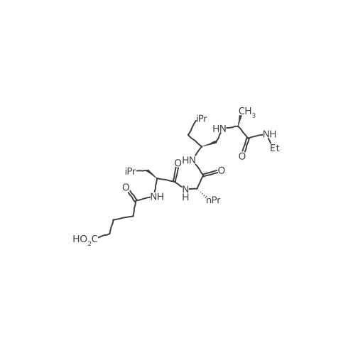 CCC[C@H](NC(=O)[C@H](CC(C)C)NC(=O)CCCC(=O)O)C(=O)N[C@H](CN[C@@H](C)C(=O)NCC)CC(C)C